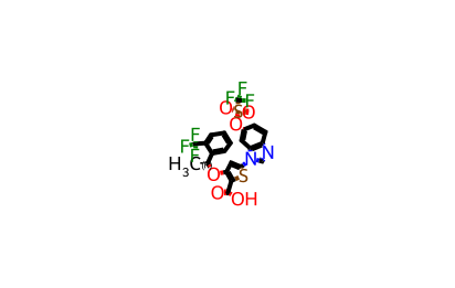 C[C@@H](Oc1cc(-n2cnc3ccc(OS(=O)(=O)C(F)(F)F)cc32)sc1C(=O)O)c1ccccc1C(F)(F)F